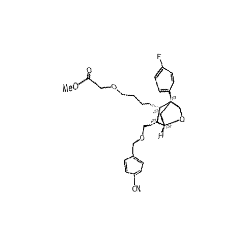 COC(=O)COCCCC[C@H]1[C@H](COCc2ccc(C#N)cc2)[C@@H]2C[C@@]1(c1ccc(F)cc1)CO2